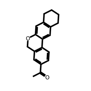 CC(=O)c1ccc2c(c1)COc1cc3c(cc1-2)CCCC3